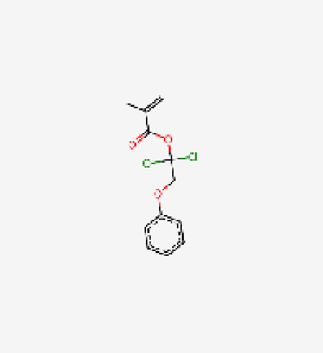 C=C(C)C(=O)OC(Cl)(Cl)COc1ccccc1